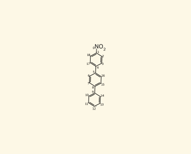 O=[N+]([O-])c1ccc(-c2ccc(-c3cc[c]cc3)cc2)cc1